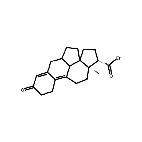 CCC(=O)[C@H]1CCC23CCC4CC5=CC(=O)CCC5=C(CC[C@]12C)C43